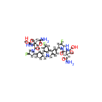 CC(C)(CC(N)=O)[C@H](NC(=O)O)C(=O)N1C[C@H](F)C[C@H]1c1ccc(CN(Cc2ccc([C@@H]3C[C@@H](F)CN3C(=O)[C@@H](NC(=O)O)C(C)(C)CC(N)=O)cc2)c2ccc(F)cc2)cc1